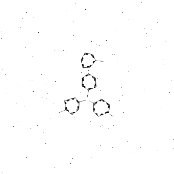 Fc1ccc(P(c2ccccc2)c2ccc(F)cc2)cc1.O=S(=O)(O)c1ccccc1